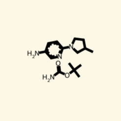 CC(C)(C)OC(N)=O.CC1CCN(c2ccc(N)cn2)C1